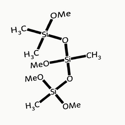 CO[Si](C)(C)O[Si](C)(OC)O[Si](C)(OC)OC